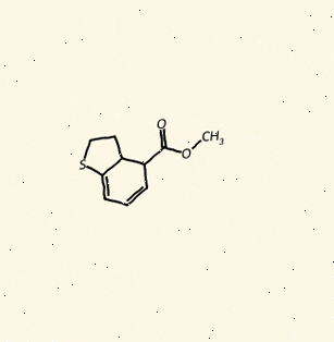 COC(=O)C1C=CC=C2SCCC21